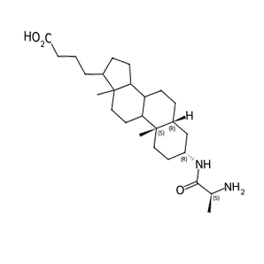 C[C@H](N)C(=O)N[C@@H]1CC[C@]2(C)C3CCC4(C)C(CCCC(=O)O)CCC4C3CC[C@@H]2C1